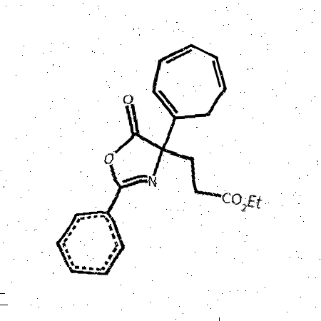 CCOC(=O)CCC1(C2=CC=CC=CC2)N=C(c2ccccc2)OC1=O